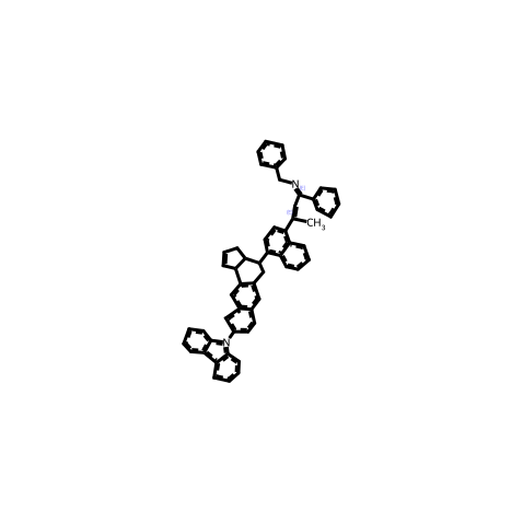 C/C(=C\C(=N/Cc1ccccc1)c1ccccc1)c1ccc(C2Cc3cc4ccc(-n5c6ccccc6c6ccccc65)cc4cc3C3C=CCC32)c2ccccc12